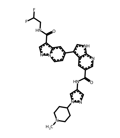 CN1CCC(n2cc(NC(=O)c3cnc4[nH]cc(-c5ccn6ncc(C(=O)NCC(F)F)c6c5)c4c3)cn2)CC1